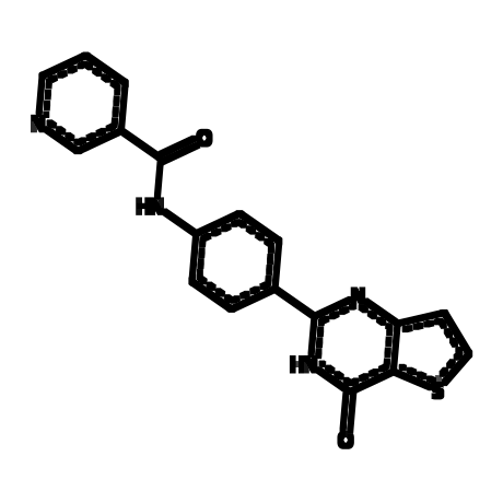 O=C(Nc1ccc(-c2nc3ccsc3c(=O)[nH]2)cc1)c1cccnc1